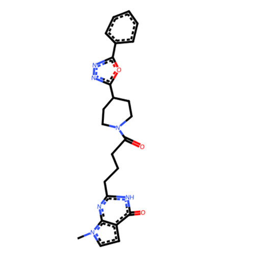 Cn1ccc2c(=O)[nH]c(CCCC(=O)N3CCC(c4nnc(-c5ccccc5)o4)CC3)nc21